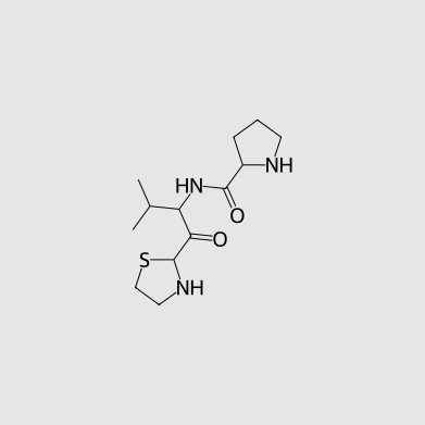 CC(C)C(NC(=O)C1CCCN1)C(=O)C1NCCS1